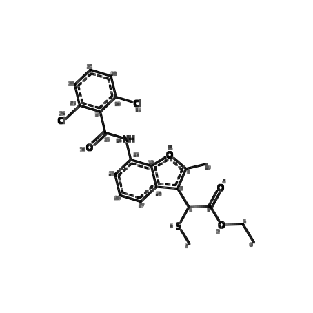 CCOC(=O)C(SC)c1c(C)oc2c(NC(=O)c3c(Cl)cccc3Cl)cccc12